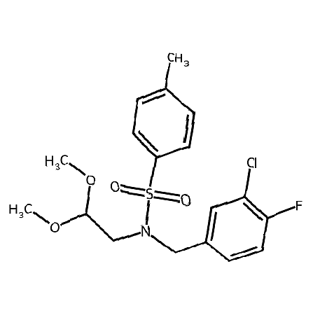 COC(CN(Cc1ccc(F)c(Cl)c1)S(=O)(=O)c1ccc(C)cc1)OC